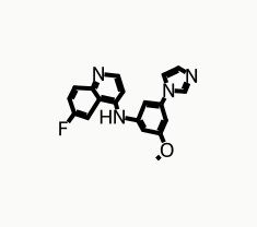 COc1cc(Nc2ccnc3ccc(F)cc23)cc(-n2ccnc2)c1